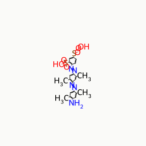 Cc1cc(N=Nc2cc(C)c(N=Nc3ccc(SOOO)cc3S(=O)(=O)O)cc2C)c(C)cc1N